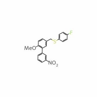 COc1ccc(CSc2ccc(F)cc2)cc1-c1cccc([N+](=O)[O-])c1